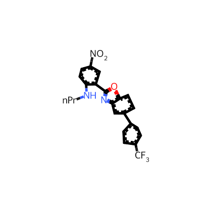 CCCNc1ccc([N+](=O)[O-])cc1-c1nc2cc(-c3ccc(C(F)(F)F)cc3)ccc2o1